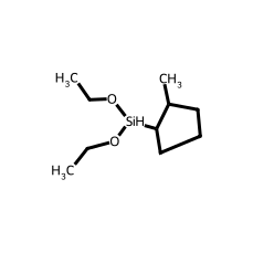 CCO[SiH](OCC)C1CCCC1C